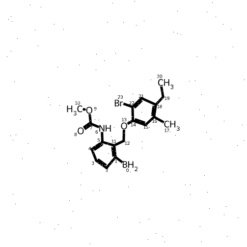 Bc1cccc(NC(=O)OC)c1COc1cc(C)c(CC)cc1Br